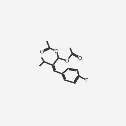 CC(=O)OC(OC(C)=O)C(=Cc1ccc(F)cc1)C(C)C